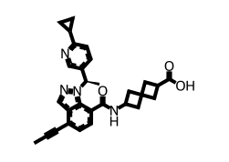 CC#Cc1ccc(C(=O)NC2CC3(C2)CC(C(=O)O)C3)c2c1cnn2[C@H](C)c1ccc(C2CC2)nc1